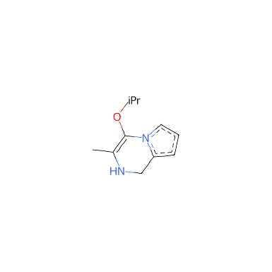 CC1=C(OC(C)C)n2cccc2CN1